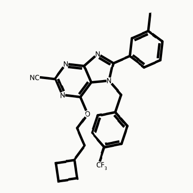 Cc1cccc(-c2nc3nc(C#N)nc(OCCC4CCC4)c3n2Cc2ccc(C(F)(F)F)cc2)c1